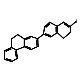 IC1=Cc2ccc(-c3ccc4c(c3)CCc3ccccc3-4)cc2CC1